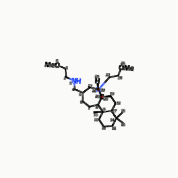 COCCNCC1CCC2[C@@]3(C)CCCC(C)(C)C3CC[C@]23CN(CCOC)[C@@H]3C1